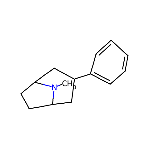 CN1C2CCC1CC(c1ccccc1)C2